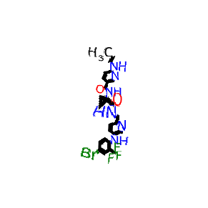 CCCNc1ccc(C(=O)NC2(C(=O)NCc3ccc(Nc4ccc(Br)cc4C(F)(F)F)cn3)CC2)cn1